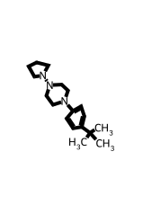 CC(C)(C)c1ccc(N2CCN(N3CCCC3)CC2)cc1